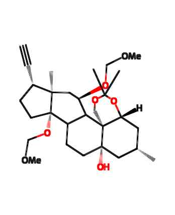 C#C[C@H]1CC[C@]2(OCOC)C3CC[C@]4(O)C[C@@H](C)C[C@H]5OC(C)(C)OC[C@]54C3[C@H](OCOC)C[C@]12C